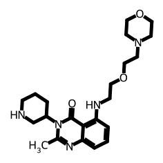 Cc1nc2cccc(NCCOCCN3CCOCC3)c2c(=O)n1C1CCCNC1